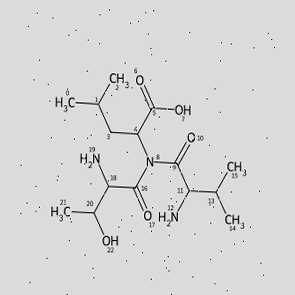 CC(C)CC(C(=O)O)N(C(=O)C(N)C(C)C)C(=O)C(N)C(C)O